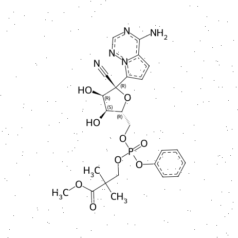 COC(=O)C(C)(C)COP(=O)(OC[C@H]1O[C@@](C#N)(c2ccc3c(N)ncnn23)[C@H](O)[C@@H]1O)Oc1ccccc1